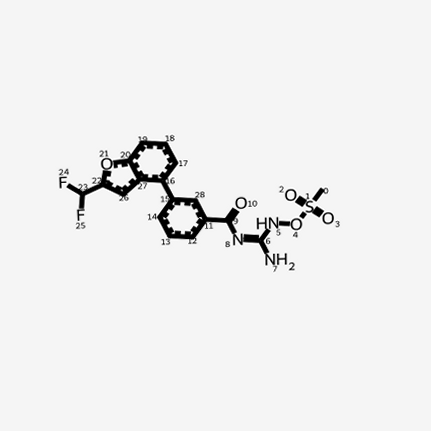 CS(=O)(=O)ONC(N)=NC(=O)c1cccc(-c2cccc3oc(C(F)F)cc23)c1